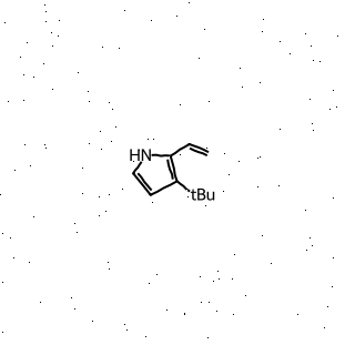 C=Cc1[nH]ccc1C(C)(C)C